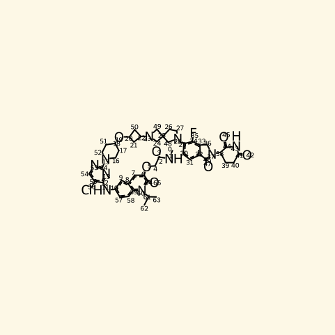 CNC(=O)COc1cc2cc(Nc3nc(N4CCC(OC5CC(N6CC7(CCN(c8ccc9c(c8F)CN(C8CCC(=O)NC8=O)C9=O)C7)C6)C5)CC4)ncc3Cl)ccc2n(C(C)C)c1=O